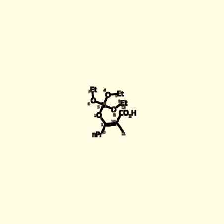 CCCC(O[Si](OCC)(OCC)OCC)=C(C)C(=O)O